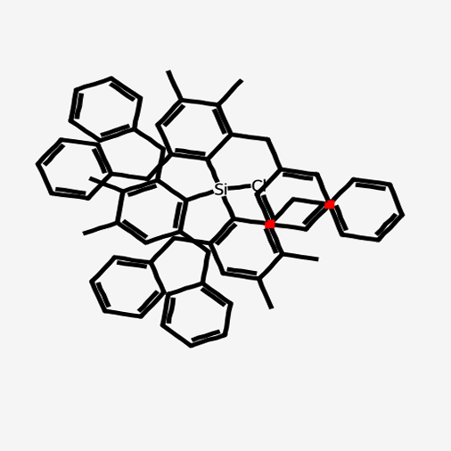 Cc1cc(Cc2ccccc2)c([Si](Cl)(c2c(Cc3ccccc3)cc(C)c(C)c2Cc2ccccc2)c2c(Cc3ccccc3)cc(C)c(C)c2Cc2ccccc2)c(Cc2ccccc2)c1C